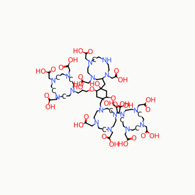 O=C(O)CN1CCNCCN(CC(=O)O)C(CC2(O)CC(OCC(O)CN3CCN(CC(=O)O)CCN(CC(=O)O)CCN(CC(=O)O)CC3)C(O)(CN3CCN(CC(=O)O)CCN(CC(=O)O)CCN(CC(=O)O)CC3)CC2OCC(O)CN2CCN(CC(=O)O)CCN(CC(=O)O)CCN(CC(=O)O)CC2)CN(CC(=O)O)CC1